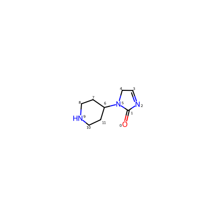 O=C1N=CCN1C1CCNCC1